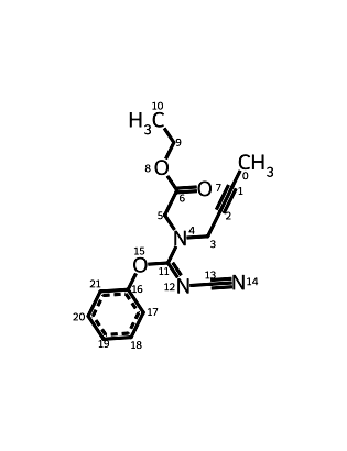 CC#CCN(CC(=O)OCC)C(=NC#N)Oc1ccccc1